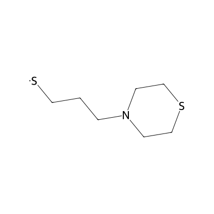 [S]CCCN1CCSCC1